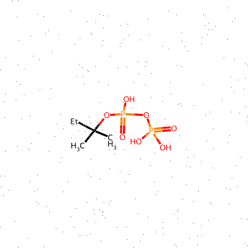 CCC(C)(C)OP(=O)(O)OP(=O)(O)O